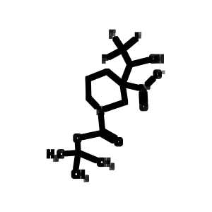 CC(C)(C)OC(=O)N1CCCC(C(O)C(F)(F)F)([N+](=O)[O-])C1